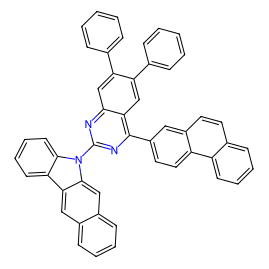 c1ccc(-c2cc3nc(-n4c5ccccc5c5cc6ccccc6cc54)nc(-c4ccc5c(ccc6ccccc65)c4)c3cc2-c2ccccc2)cc1